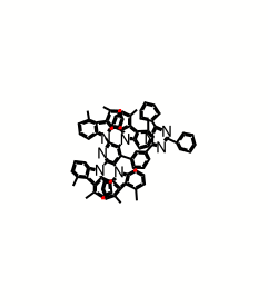 Cc1cccc2c1c1c(C)cccc1n2-c1nc(-n2c3cccc(C)c3c3c(C)cccc32)c(-n2c3cccc(C)c3c3c(C)cccc32)c(-c2cccc(-c3nc(-c4ccccc4)nc(-c4ccccc4)n3)c2)c1-n1c2cccc(C)c2c2c(C)cccc21